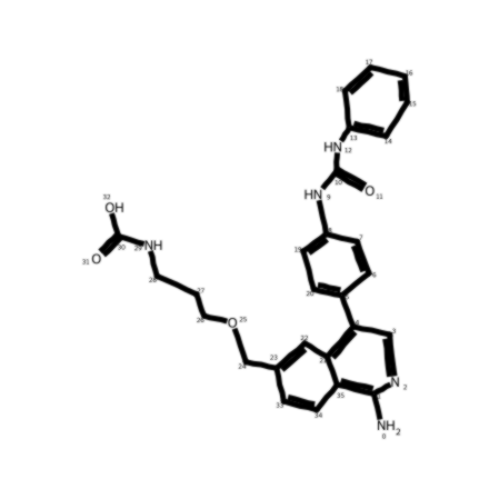 Nc1ncc(-c2ccc(NC(=O)Nc3ccccc3)cc2)c2cc(COCCCNC(=O)O)ccc12